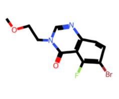 COCCn1cnc2ccc(Br)c(F)c2c1=O